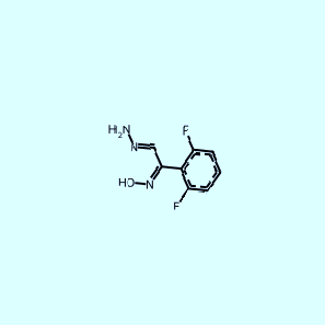 NN=CC(=NO)c1c(F)cccc1F